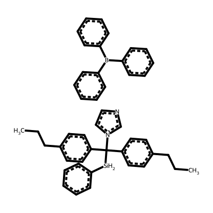 CCCc1ccc(C([SiH2]c2ccccc2)(c2ccc(CCC)cc2)n2ccnc2)cc1.c1ccc(B(c2ccccc2)c2ccccc2)cc1